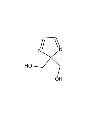 OCC1(CO)N=CC=N1